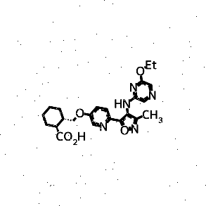 CCOc1cncc(Nc2c(C)noc2-c2ccc(OC[C@H]3CCCC[C@@H]3C(=O)O)cn2)n1